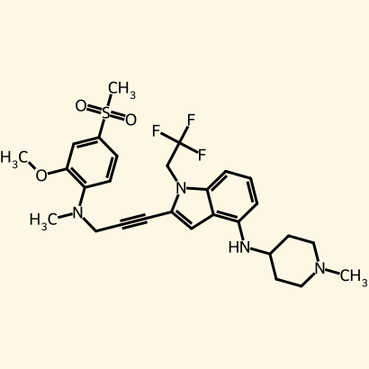 COc1cc(S(C)(=O)=O)ccc1N(C)CC#Cc1cc2c(NC3CCN(C)CC3)cccc2n1CC(F)(F)F